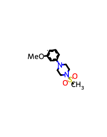 COc1[c]ccc(N2CCN(S(C)(=O)=O)CC2)c1